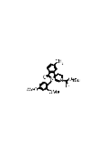 COc1ccc(CN2C(=O)c3ccc(C)cc3C23C=CN(C(=O)OC(C)(C)C)CC3)c(OC)c1